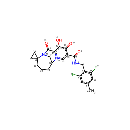 Cc1cc(F)c(CNC(=O)c2cn3c(c(O)c2=O)C(=O)N2CC3CCCC23CC3)c(F)c1